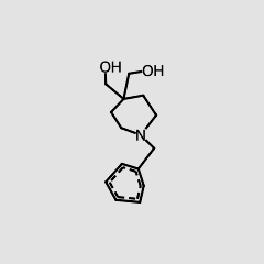 OCC1(CO)CCN(Cc2ccccc2)CC1